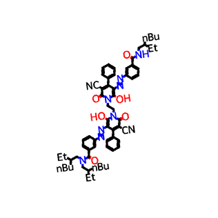 CCCCC(CC)CNC(=O)c1cccc(/N=N/c2c(-c3ccccc3)c(C#N)c(=O)n(CCn3c(O)c(/N=N/c4cccc(C(=O)N(CC(CC)CCCC)CC(CC)CCCC)c4)c(-c4ccccc4)c(C#N)c3=O)c2O)c1